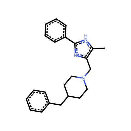 Cc1[nH]c(-c2ccccc2)nc1CN1CCC(Cc2ccccc2)CC1